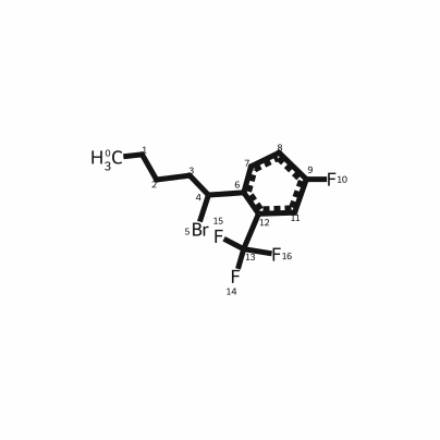 CCCCC(Br)c1ccc(F)cc1C(F)(F)F